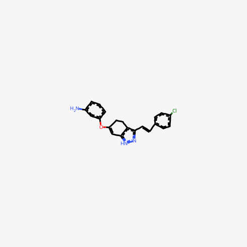 Nc1cccc(OC2=Cc3[nH]nc(C=Cc4ccc(Cl)cc4)c3CC2)c1